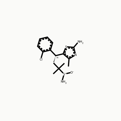 Cc1nc(N)sc1[C@H](CC(C)(C)[S+](N)[O-])c1ccccc1Cl